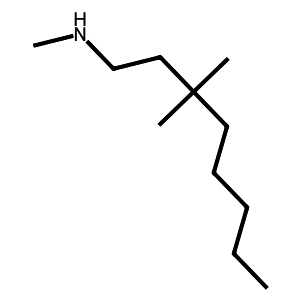 CCCCCC(C)(C)CCNC